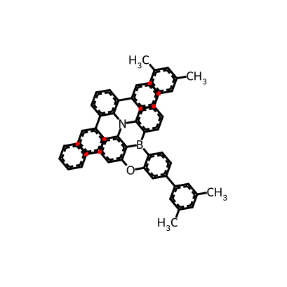 Cc1cc(C)cc(-c2ccc3c(c2)Oc2cc(-c4ccccc4)cc4c2B3c2ccc(-c3cc(C)cc(C)c3)cc2N4c2c(-c3ccccc3)cccc2-c2ccccc2)c1